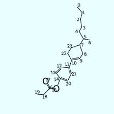 CCCCCC(C)C1CC=C(c2ccc(OC(=O)CC)cc2)CC1